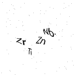 [Nb].[Ti].[Zn].[Zr]